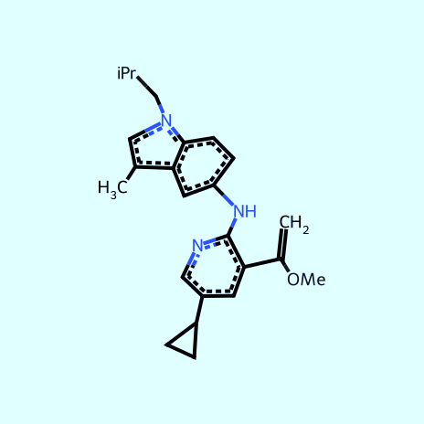 C=C(OC)c1cc(C2CC2)cnc1Nc1ccc2c(c1)c(C)cn2CC(C)C